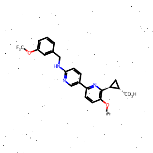 CC(C)Oc1ccc(-c2ccc(NCc3cccc(OC(F)(F)F)c3)nc2)nc1[C@H]1C[C@@H]1C(=O)O